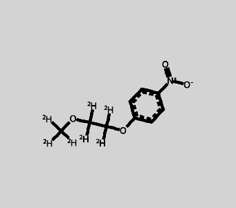 [2H]C([2H])([2H])OC([2H])([2H])C([2H])([2H])Oc1ccc([N+](=O)[O-])cc1